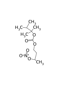 CC(CCOC(=O)OC(C)(C)C(C)C)O[N+](=O)[O-]